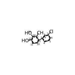 Cc1c(-c2cccc(Cl)c2)ccc(O)c1O